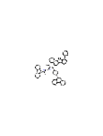 C=C/C(=C\C=C(/C)n1c2ccccc2c2ccccc21)N(c1ccc(-c2cc3ccccc3c3ccccc23)cc1)c1cc2c3cccc(-c4ccccc4)c3oc2c2ccccc12